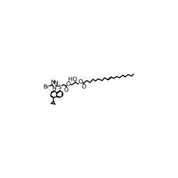 CCCCCCCCC=CCCCCCCCC(=O)OCC(O)COC(=O)CSc1nnc(Br)n1-c1ccc(C2CC2)c2ccccc12